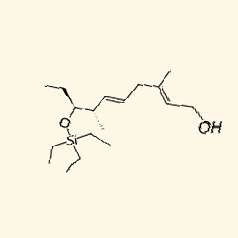 CC[C@H](O[Si](CC)(CC)CC)[C@@H](C)C=CCC(C)=CCO